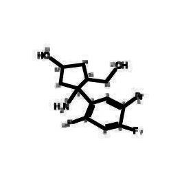 NC1(c2cc(Br)c(F)cc2F)CC(O)CC1CO